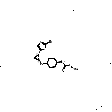 CC(C)(C)OC(=O)NC1CCC(N[C@H]2C[C@@H]2c2cnc(Br)s2)CC1